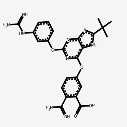 CC(C)(C)c1nc2nc(Oc3cccc(NC(=N)N)c3)nc(Oc3ccc(C(=N)N)c(C(=O)O)c3)c2[nH]1